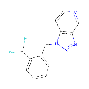 FC(F)c1ccccc1Cn1nnc2cnccc21